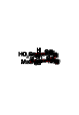 COC(=O)CC[S+]([O-])CC(=O)NCCCCCC(=O)Nc1cccc(-c2ccccc2)c1.O=C(O)CCSCC(=O)NCCCCCC(=O)Nc1cccc(-c2ccccc2)c1